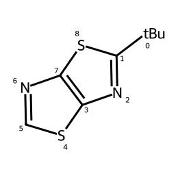 CC(C)(C)c1nc2scnc2s1